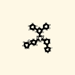 c1ccc(-c2cccc(-c3nc(-c4cc(-c5ccccc5)cc(-c5ccccc5)c4)nc(-c4ccc5c(c4)oc4ccccc45)n3)c2)cc1